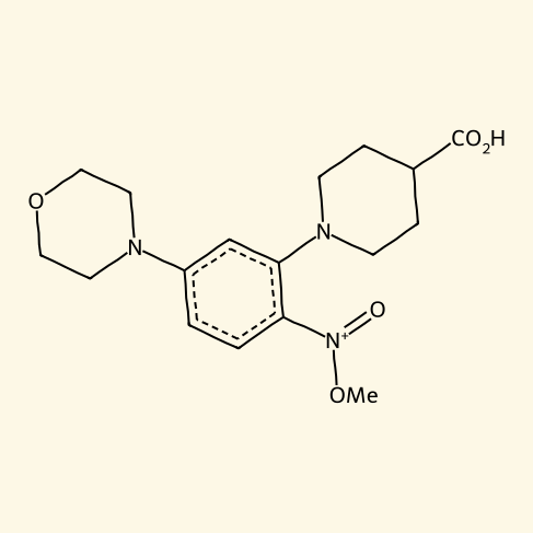 CO[N+](=O)c1ccc(N2CCOCC2)cc1N1CCC(C(=O)O)CC1